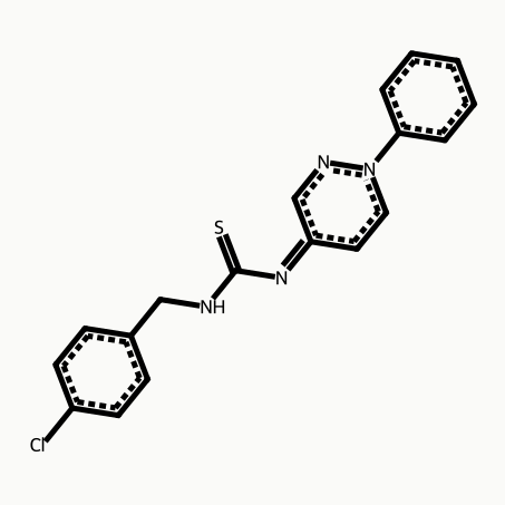 S=C(N=c1ccn(-c2ccccc2)nc1)NCc1ccc(Cl)cc1